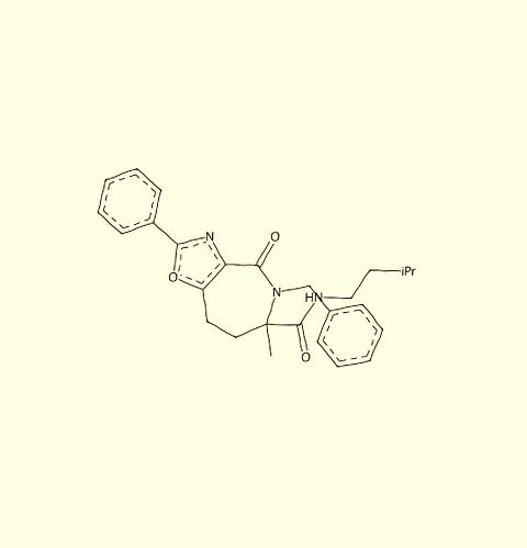 CC(C)CCNC(=O)C1(C)CCc2oc(-c3ccccc3)nc2C(=O)N1Cc1ccccc1